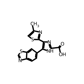 Cc1csc(-c2nc(C(=O)O)[nH]c2-c2ccc3ncsc3c2)n1